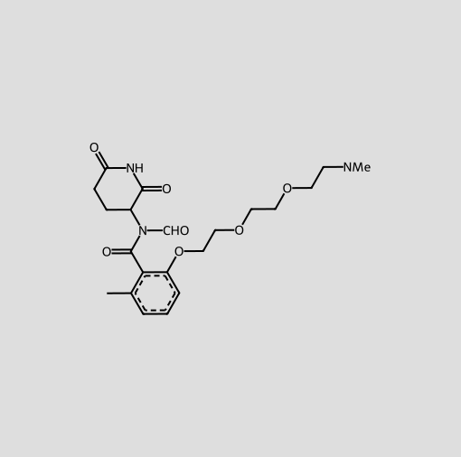 CNCCOCCOCCOc1cccc(C)c1C(=O)N(C=O)C1CCC(=O)NC1=O